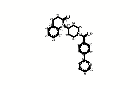 O=C(c1ccc(-c2ccccn2)cc1)N1CCC(N2C(=O)CCc3ccccc32)CC1